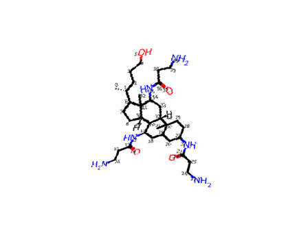 C[C@H](CCCO)C1CC[C@H]2C3[C@H](NC(=O)CCN)CC4CC(NC(=O)CCN)CCC4(C)[C@H]3CC(NC(=O)CCN)C12C